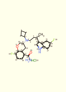 C[C@H](CCN(C1CCC1)[C@H]1COc2c(F)ccc(C(N)=O)c2C1)c1c[nH]c2ccc(F)cc12.Cl